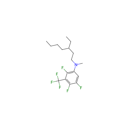 CCCCC(CC)CCN(C)c1cc(F)c(F)c(C(F)(F)F)c1F